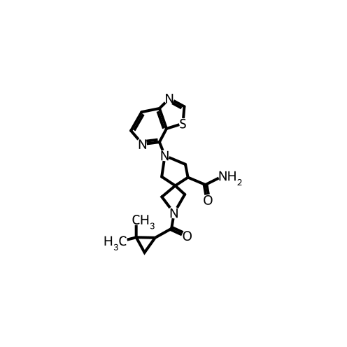 CC1(C)CC1C(=O)N1CC2(C1)CN(c1nccc3ncsc13)CC2C(N)=O